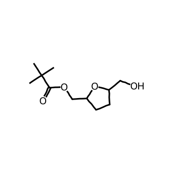 CC(C)(C)C(=O)OCC1CCC(CO)O1